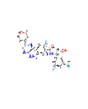 Nc1ncc(C2CCOCC2)nc1-c1ccc(C(=O)NC(CO)c2cc(F)cc(CF)c2)c(F)c1